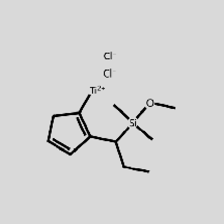 CCC(C1=[C]([Ti+2])CC=C1)[Si](C)(C)OC.[Cl-].[Cl-]